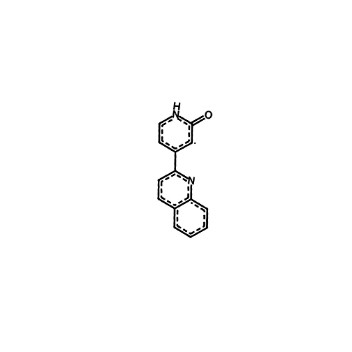 O=c1[c]c(-c2ccc3ccccc3n2)cc[nH]1